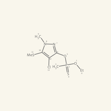 CCOP(C)(=S)Oc1nn(C)c(SC)c1Cl